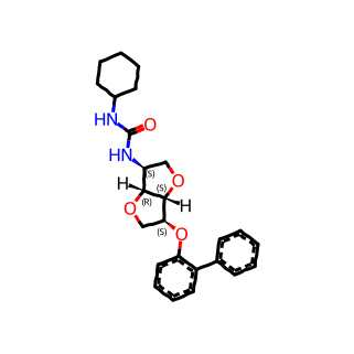 O=C(NC1CCCCC1)N[C@H]1CO[C@H]2[C@@H]1OC[C@@H]2Oc1ccccc1-c1ccccc1